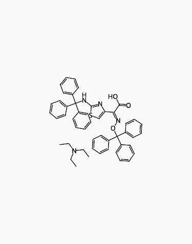 CCN(CC)CC.O=C(O)/C(=N/OC(c1ccccc1)(c1ccccc1)c1ccccc1)c1csc(NC(c2ccccc2)(c2ccccc2)c2ccccc2)n1